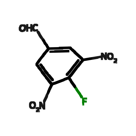 O=Cc1cc([N+](=O)[O-])c(F)c([N+](=O)[O-])c1